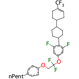 CCCCCc1ccc(OCC(F)(F)Oc2cc(F)c(C3CCC(C4CC=C(C(F)(F)F)CC4)CC3)c(F)c2)cc1